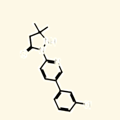 CC1(C)CC(=O)N(c2ccc(-c3cccc(Cl)c3)cn2)N1